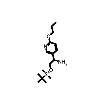 CCCOc1ccc([C@@H](N)CO[Si](C)(C)C(C)(C)C)cn1